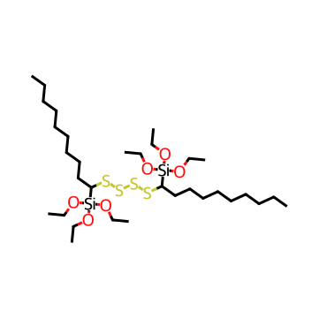 CCCCCCCCCC(SSSSC(CCCCCCCCC)[Si](OCC)(OCC)OCC)[Si](OCC)(OCC)OCC